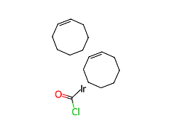 C1=C\CCCCCC/1.C1=C\CCCCCC/1.O=[C](Cl)[Ir]